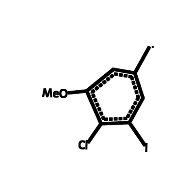 [CH2]c1cc(I)c(Cl)c(OC)c1